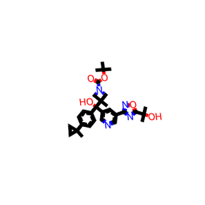 CC(C)(C)OC(=O)N1CC(C)(C(O)(c2ccc(C3(C)CC3)cc2)c2cncc(-c3noc(C(C)(C)O)n3)c2)C1